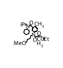 CCOCC1(C)Oc2cc(C)c(C(=O)N(C(C)C)C3CCCCC3)cc2N(CCCCOC)C1=O